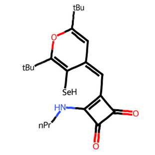 CCCNc1c(C=C2C=C(C(C)(C)C)OC(C(C)(C)C)=C2[SeH])c(=O)c1=O